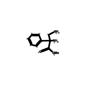 COC(=O)C(N)(CN)c1ccccc1